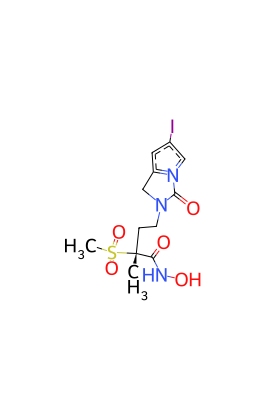 C[C@@](CCN1Cc2cc(I)cn2C1=O)(C(=O)NO)S(C)(=O)=O